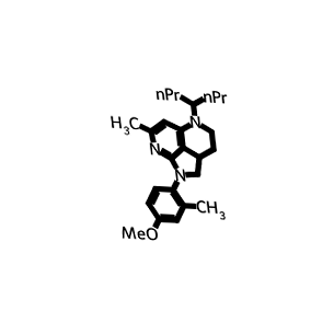 CCCC(CCC)N1CCC2CN(c3ccc(OC)cc3C)c3nc(C)cc1c32